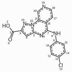 O=C(O)c1cc2nc(Nc3ccc(Cl)cc3)c3ccncc3n2n1